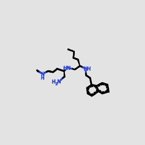 CCCC[C@H](CN[C@@H](CN)CCCNC)NCCc1cccc2ccccc12